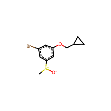 C[S+]([O-])c1cc(Br)cc(OCC2CC2)c1